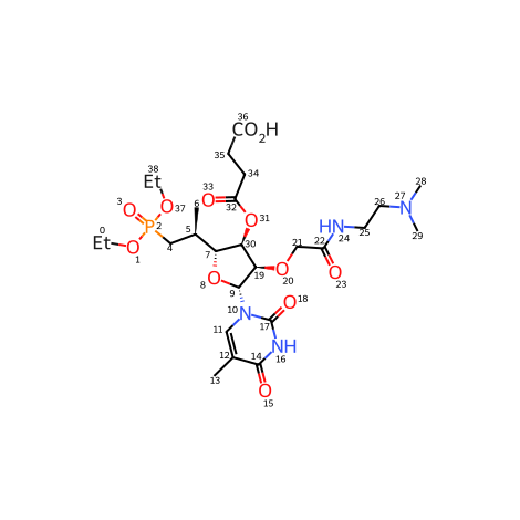 CCOP(=O)(C[C@@H](C)[C@H]1O[C@@H](n2cc(C)c(=O)[nH]c2=O)[C@H](OCC(=O)NCCN(C)C)[C@@H]1OC(=O)CCC(=O)O)OCC